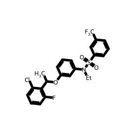 CCN(c1cccc(OC(C)c2c(F)cccc2Cl)c1)S(=O)(=O)c1cccc(C(F)(F)F)c1